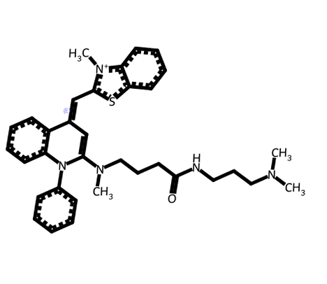 CN(C)CCCNC(=O)CCCN(C)C1=C/C(=C\c2sc3ccccc3[n+]2C)c2ccccc2N1c1ccccc1